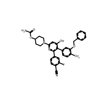 Cc1ccc(-c2c(O)cc(N3CCC(OC(N)=O)CC3)nc2-c2ccc(C#N)c(F)c2)cc1OCc1ccccc1